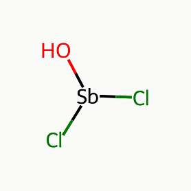 [OH][Sb]([Cl])[Cl]